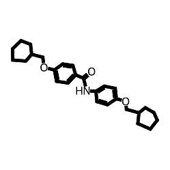 O=C(Nc1ccc(OCC2CCCCC2)cc1)c1ccc(OCC2CCCCC2)cc1